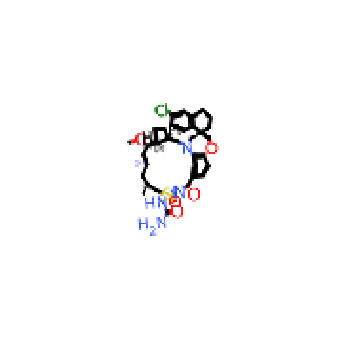 CO[C@H]1/C=C/C[C@H](C)CS(=O)(NC(N)=O)=NC(=O)c2ccc3c(c2)N(C[C@@H]2CC[C@H]21)C[C@@]1(CCCc2cc(Cl)ccc21)CO3